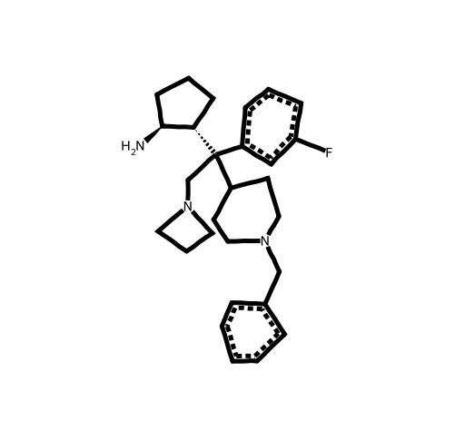 N[C@H]1CCC[C@@H]1C(CN1CCC1)(c1cccc(F)c1)C1CCN(Cc2ccccc2)CC1